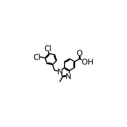 Cc1nc2cc(C(=O)O)ccc2n1Cc1ccc(Cl)c(Cl)c1